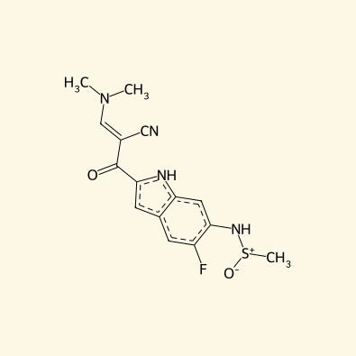 CN(C)/C=C(\C#N)C(=O)c1cc2cc(F)c(N[S+](C)[O-])cc2[nH]1